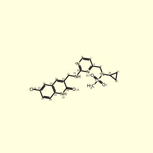 CS(=O)(=O)N(Cc1ccnc(NCc2cc3cc(Cl)ccc3[nH]c2=O)n1)C1CC1